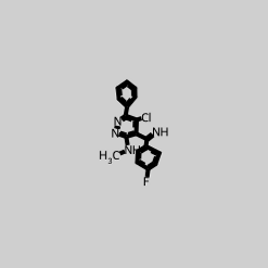 CNc1nnc(-c2ccccc2)c(Cl)c1C(=N)c1ccc(F)cc1